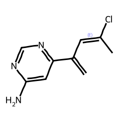 C=C(/C=C(\C)Cl)c1cc(N)ncn1